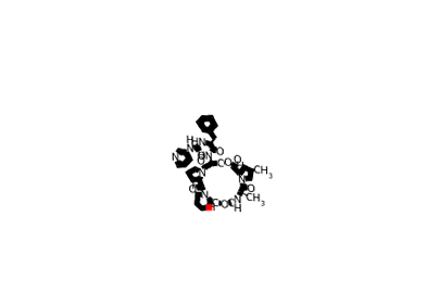 C[C@@H]1C[C@H]2C(=O)OC[C@H](NC(=O)[C@H](Cc3ccccc3)NC(=O)Nc3cccnc3)C(=O)N3CCC[C@H]3C(=O)N3CCCC[C@H]3COCN[C@@H](C)C(=O)N2C1